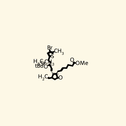 C=CC1CC(=O)[C@H](CC=CCCCC(=O)OC)[C@H]1C=C[C@H](CCc1cc(Br)c(C)s1)O[Si](C)(C)C(C)(C)C